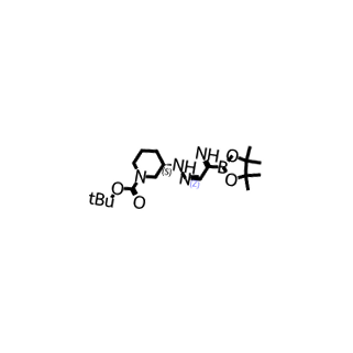 CC(C)(C)OC(=O)N1CCC[C@H](N/N=C\C(=N)B2OC(C)(C)C(C)(C)O2)C1